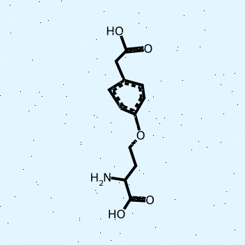 NC(CCOc1ccc(CC(=O)O)cc1)C(=O)O